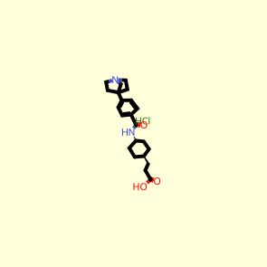 Cl.O=C(O)CC[C@H]1CC[C@H](NC(=O)c2ccc(C34CCN(CC3)C4)cc2)CC1